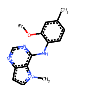 Cc1ccc(Nc2ncnc3ccn(C)c23)c(OC(C)C)c1